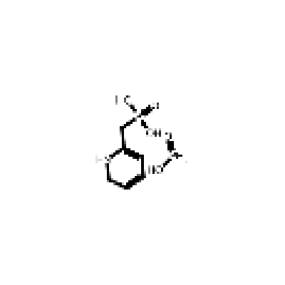 O=P(O)(O)CC1=CC=CCN1.O=[PH2]O